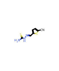 N#Cc1ccc(C=NNC(N)=S)s1